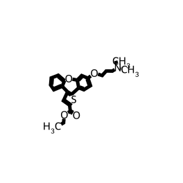 CCOC(=O)c1cc2c(s1)-c1ccc(OCCCN(C)C)cc1Oc1ccccc1-2